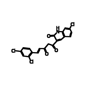 O=C(C=Cc1ccc(Cl)cc1Cl)CC(=O)c1cc2ccc(Cl)cc2[nH]c1=O